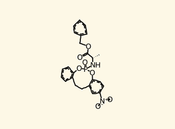 C[C@H](NP1(=O)Oc2ccccc2CCc2cc([N+](=O)[O-])ccc2O1)C(=O)OCc1ccccc1